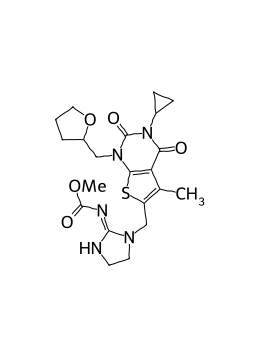 COC(=O)N=C1NCCN1Cc1sc2c(c1C)c(=O)n(C1CC1)c(=O)n2CC1CCCO1